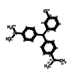 CN(C)c1ccc(C(c2ccc(N(C)C)cc2)c2cccc(Cl)c2)cc1